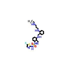 CCNCCCNc1ccccc1CNc1cccc2c1cnn2S(=O)(=O)Nc1ncc(F)s1